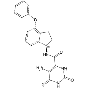 Nc1c(C(=O)N[C@@H]2CCc3c(Oc4ccccc4)cccc32)[nH]c(=O)[nH]c1=O